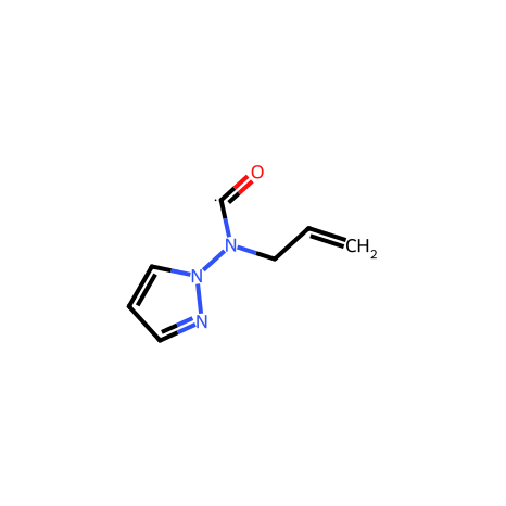 C=CCN([C]=O)n1cccn1